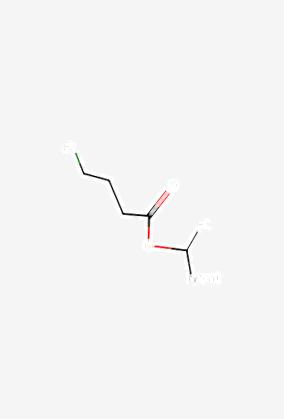 CCCCCC(CC)OC(=O)CCCBr